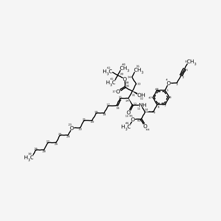 CC#CCOc1ccc(C[C@H](NC(=O)[C@@H](/C=C/CCCCCCOCCCCCCC)[C@@](O)(CCC)C(=O)OC(C)(C)C)C(=O)OC)cc1